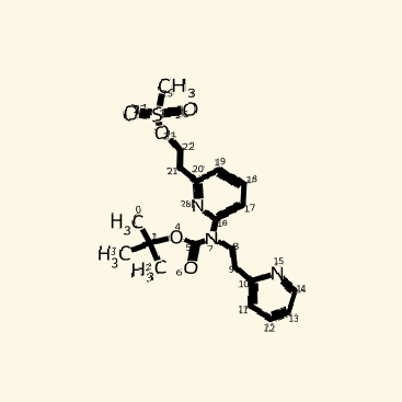 CC(C)(C)OC(=O)N(CCc1ccccn1)c1cccc(CCOS(C)(=O)=O)n1